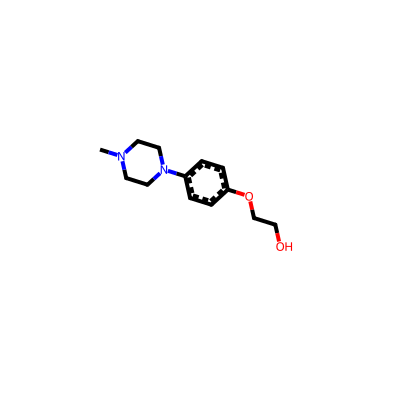 CN1CCN(c2ccc(OCCO)cc2)CC1